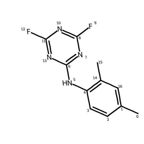 Cc1ccc(Nc2nc(F)nc(F)n2)c(C)c1